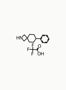 O=C(O)C(F)(F)F.c1ccc(C2CCC3(CC2)CNC3)cc1